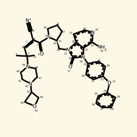 CC(C)(/C=C(/C#N)C(=O)N1CCC[C@H]1Cn1c(=O)n(-c2ccc(Oc3ccccc3)cc2)c2c(N)nccc21)N1CCN(C2COC2)CC1